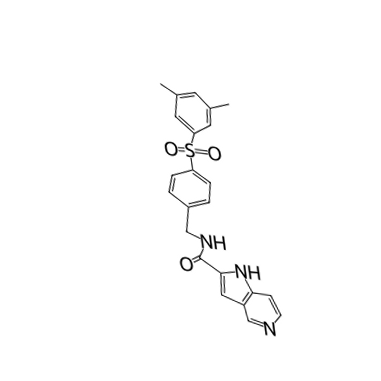 Cc1cc(C)cc(S(=O)(=O)c2ccc(CNC(=O)c3cc4cnccc4[nH]3)cc2)c1